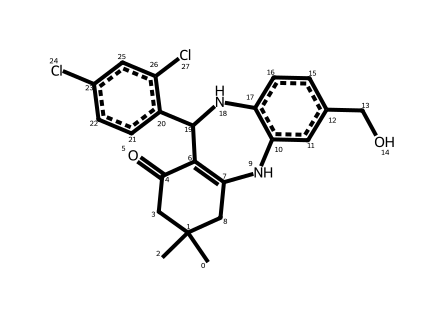 CC1(C)CC(=O)C2=C(C1)Nc1cc(CO)ccc1NC2c1ccc(Cl)cc1Cl